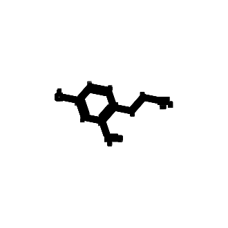 CNc1cc(Cl)ccc1CCN